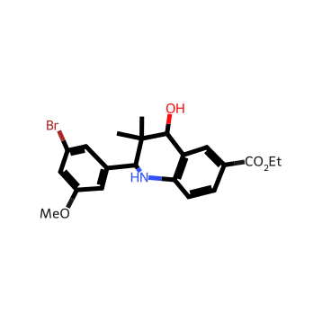 CCOC(=O)c1ccc2c(c1)C(O)C(C)(C)C(c1cc(Br)cc(OC)c1)N2